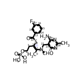 C/C(=C(\CCOP(=O)(O)O)SC(=O)c1cccc(F)c1)N(C=O)Cc1cnc(C)nc1N